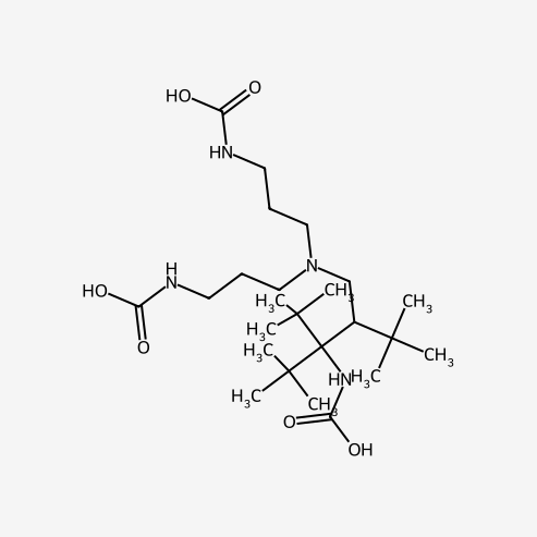 CC(C)(C)C(CN(CCCNC(=O)O)CCCNC(=O)O)C(NC(=O)O)(C(C)(C)C)C(C)(C)C